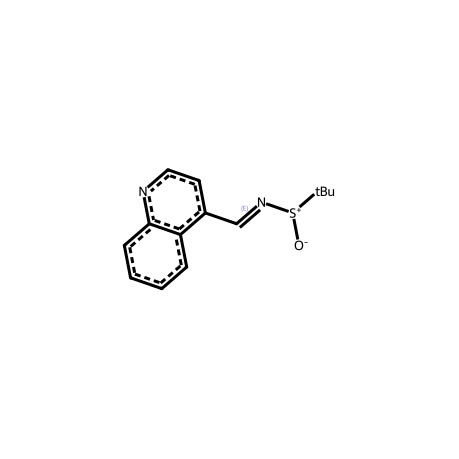 CC(C)(C)[S+]([O-])/N=C/c1ccnc2ccccc12